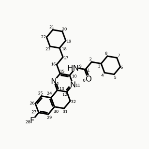 O=C(CC1CCCCC1)Nc1nc2c(nc1CCC1CCCCC1)-c1ccc(F)cc1CC2